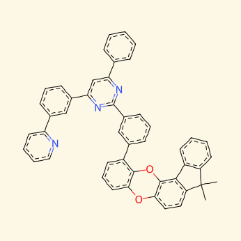 CC1(C)c2ccccc2-c2c1ccc1c2Oc2c(cccc2-c2cccc(-c3nc(-c4ccccc4)cc(-c4cccc(-c5ccccn5)c4)n3)c2)O1